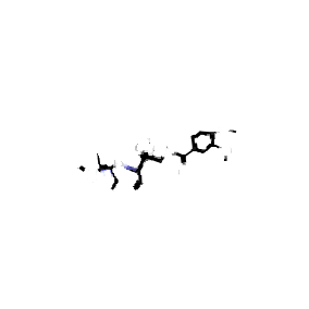 C=C/C(=N\C(CC)=C(/C)OC)C(=O)CNC(=O)c1ccc(OC)c(OC)c1